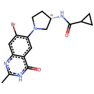 Cc1nc2cc(Br)c(N3CC[C@H](NC(=O)C4CC4)C3)cc2c(=O)[nH]1